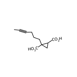 CC#CCCCC1(C(=O)O)CC1C(=O)O